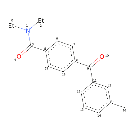 CCN(CC)C(=O)c1ccc(C(=O)c2cccc(C)c2)cc1